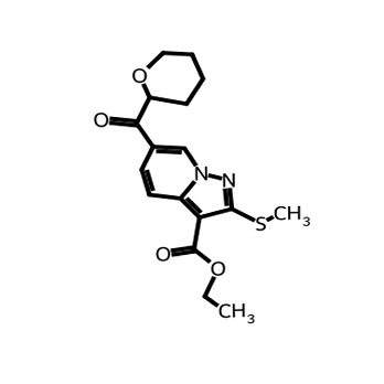 CCOC(=O)c1c(SC)nn2cc(C(=O)C3CCCCO3)ccc12